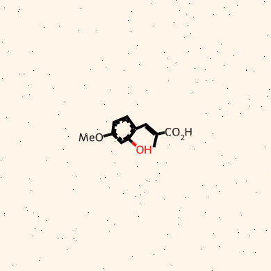 COc1ccc(/C=C(\C)C(=O)O)c(O)c1